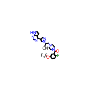 N#CCC(CN1CCN(C(=O)c2cc(OC(F)(F)F)ccc2F)CC1)n1cc(-c2ncnc3[nH]ccc23)cn1